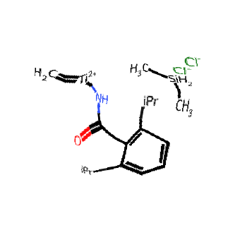 C[SiH2]C.[CH2]=[Ti+2][NH]C(=O)c1c(C(C)C)cccc1C(C)C.[Cl-].[Cl-]